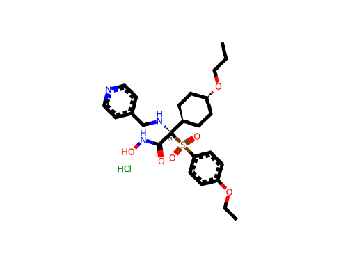 CCCO[C@H]1CC[C@H]([C@](NCc2ccncc2)(C(=O)NO)S(=O)(=O)c2ccc(OCC)cc2)CC1.Cl